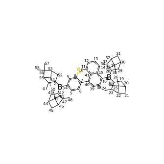 CC1C(B(c2ccc3c(c2)Sc2cccc4c(B(C5CC6CC(C5C)C6(C)C)C5CC6CC(C5C)C6(C)C)ccc-3c24)C2CC3CC(C2C)C3(C)C)CC2CC1C2(C)C